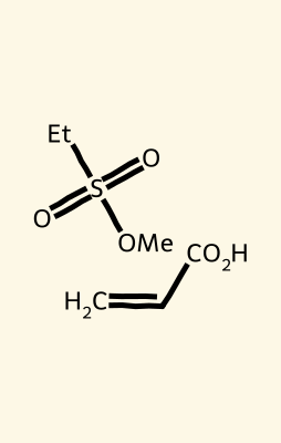 C=CC(=O)O.CCS(=O)(=O)OC